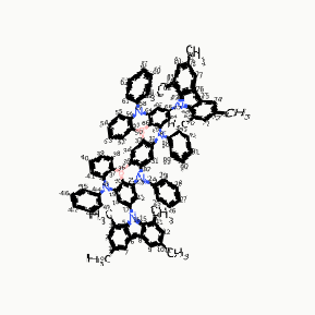 Cc1cc(C)c2c(c1)c1cc(C)cc(C)c1n2-c1cc2c3c(c1)N(c1ccccc1)c1cc4c(cc1B3c1ccccc1N2c1ccccc1)B1c2ccccc2N(c2ccccc2)c2cc(-n3c5c(C)cc(C)cc5c5cc(C)cc(C)c53)cc(c21)N4c1ccccc1